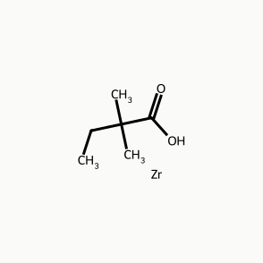 CCC(C)(C)C(=O)O.[Zr]